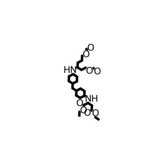 CCOC(=O)CC(NC1CCC(CC2CCC(NC(CCCOC=O)CCOC=O)CC2)CC1)C(=O)OCC